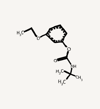 CCOc1cccc(OC(=O)NC(C)(C)C)c1